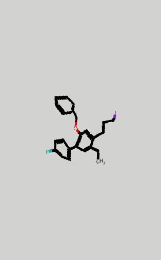 CCc1cc(-c2ccc(F)cc2)c(OCc2ccccc2)cc1CCCI